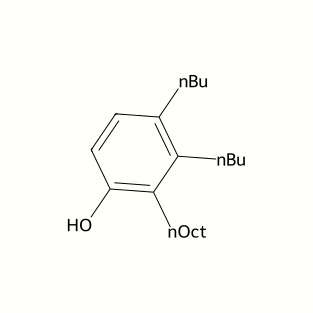 CCCCCCCCc1c(O)ccc(CCCC)c1CCCC